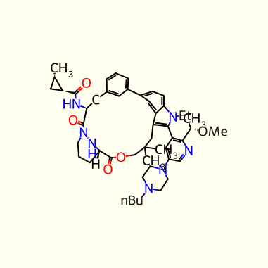 CCCCN1CCN(c2cnc([C@H](C)OC)c(-c3c4c5cc(ccc5n3CC)-c3cccc(c3)C[C@H](NC(=O)[C@H]3C[C@@H]3C)C(=O)N3CCC[C@H](N3)C(=O)OCC(C)(C)C4)c2)CC1